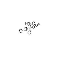 O=C(C1CNC[C@]12CCOc1c(OC3CC3)cccc12)N1CC[C@@H](c2ccccc2)C[C@H]1C1CCCCC1